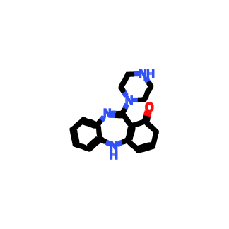 O=C1CC=CC2=C1C(N1CCNCC1)=Nc1ccccc1N2